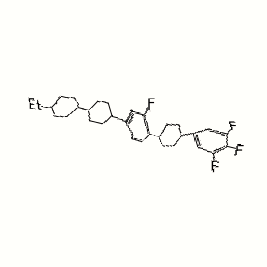 CCC1CCC(C2CCC(c3ccc(C4CCC(c5cc(F)c(F)c(F)c5)CC4)c(F)c3)CC2)CC1